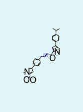 COC(=O)c1cc(-c2ccc(C/C=C/C(=O)c3cc(-c4ccc(C(C)C)cc4)cn3C)cc2)cn1C